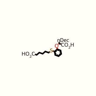 CCCCCCCCCCC(Oc1ccccc1SCCCCCC(=O)O)C(=O)O